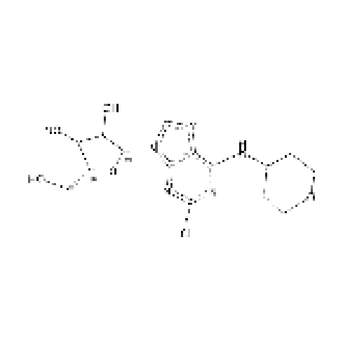 OC[C@H]1O[C@@H](n2cnc3c(NC4CCOCC4)nc(Cl)nc32)C(O)C1O